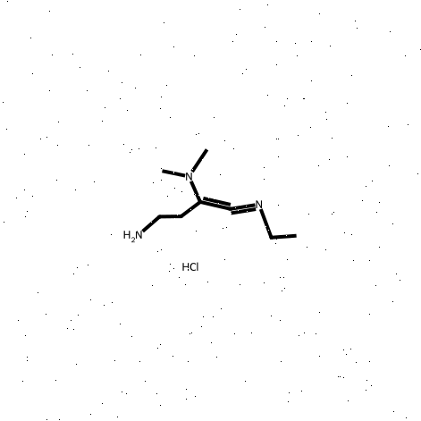 CCN=C=C(CCN)N(C)C.Cl